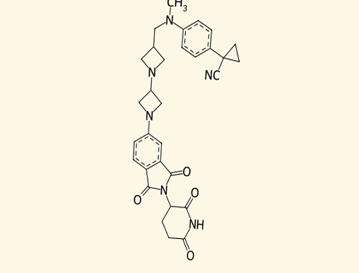 CN(CC1CN(C2CN(c3ccc4c(c3)C(=O)N(C3CCC(=O)NC3=O)C4=O)C2)C1)c1ccc(C2(C#N)CC2)cc1